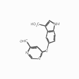 O=Cc1cc(Oc2ccc3[nH]cc(C(=O)O)c3c2)ncn1